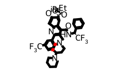 CCS(=O)(=O)c1cc2c(C(=O)N[C@H](c3ccccc3)C(F)(F)F)c(CN3CCC(N4CCCCC4)CC3)c(-c3cccc(C(F)(F)F)c3)nc2cc1OC(C)C